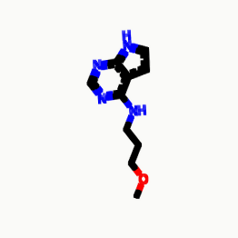 COCCCNc1ncnc2[nH]ccc12